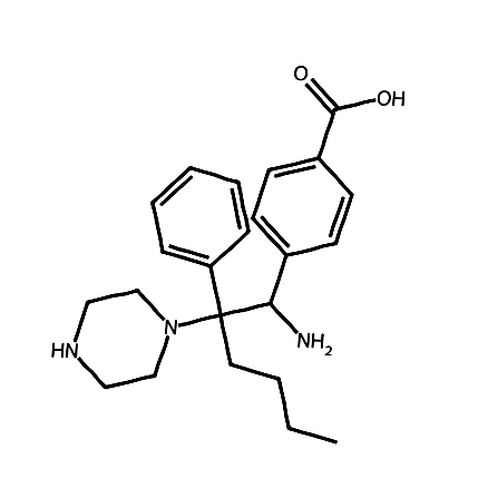 CCCCC(c1ccccc1)(C(N)c1ccc(C(=O)O)cc1)N1CCNCC1